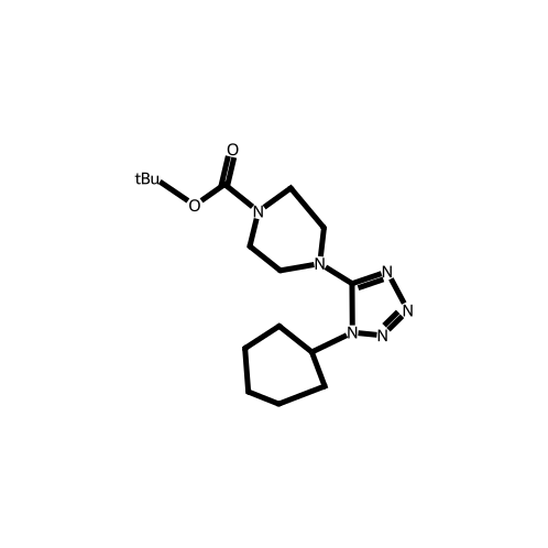 CC(C)(C)OC(=O)N1CCN(c2nnnn2C2CCCCC2)CC1